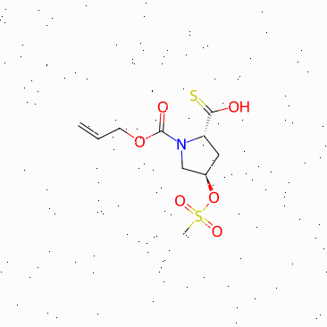 C=CCOC(=O)N1C[C@H](OS(C)(=O)=O)C[C@H]1C(O)=S